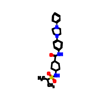 CC(C)S(=O)(=O)NC1CCC(C(=O)Nc2ccc(N3CCN(c4ccccc4)CC3)cc2)CC1